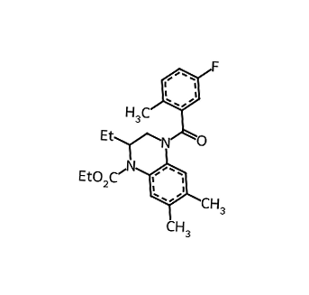 CCOC(=O)N1c2cc(C)c(C)cc2N(C(=O)c2cc(F)ccc2C)CC1CC